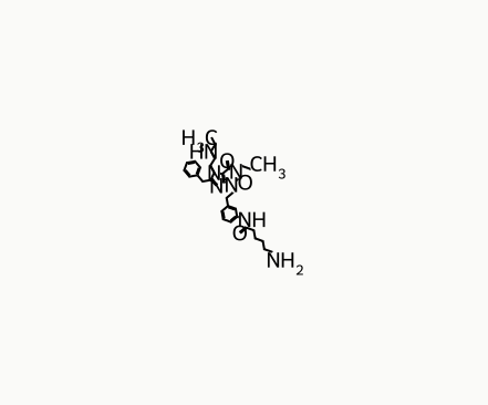 CCCn1c(=O)c2c(nc(Cc3ccccc3)n2CCNCC)n(CCc2cccc(NC(=O)CCCCCN)c2)c1=O